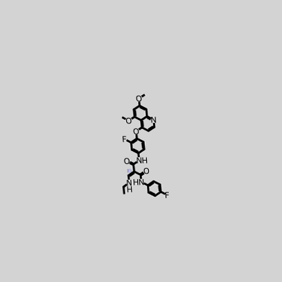 CCN/C=C(\C(=O)Nc1ccc(F)cc1)C(=O)Nc1ccc(Oc2ccnc3cc(OC)cc(OC)c23)c(F)c1